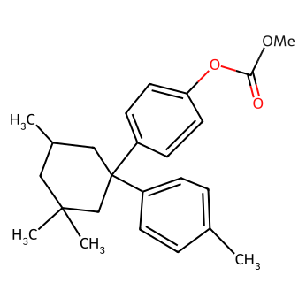 COC(=O)Oc1ccc(C2(c3ccc(C)cc3)CC(C)CC(C)(C)C2)cc1